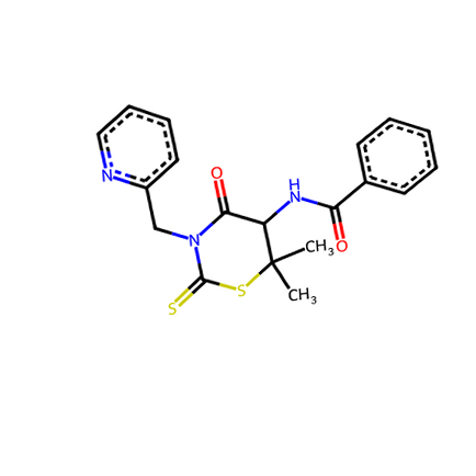 CC1(C)SC(=S)N(Cc2ccccn2)C(=O)C1NC(=O)c1ccccc1